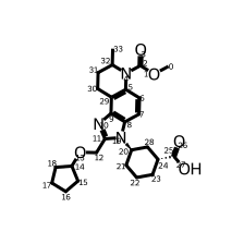 COC(=O)N1c2ccc3c(nc(COC4CCCC4)n3[C@@H]3CCC[C@@H](C(=O)O)C3)c2CCC1C